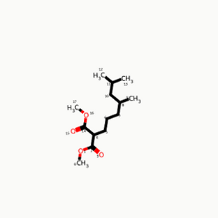 COC(=O)C(CCCC(C)CC(C)C)C(=O)OC